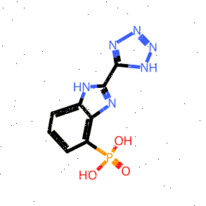 O=P(O)(O)c1cccc2[nH]c(-c3nnn[nH]3)nc12